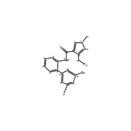 Cn1cc(C(=O)Nc2ccccc2-c2cc(F)cc(Cl)c2)c(CF)n1